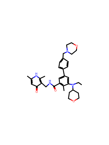 CCN(c1cc(-c2ccc(CN3CCOCC3)cc2)cc(C(=O)NCc2c(C)[nH]c(C)cc2=O)c1C)C1CCOCC1